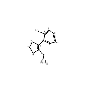 CCC1=C(c2ccccc2F)CCC1